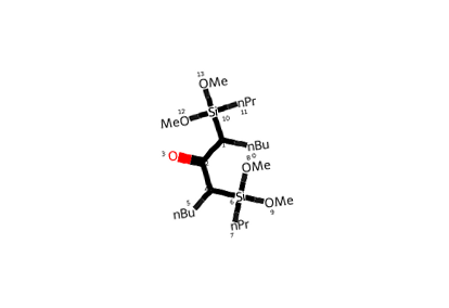 CCCCC(C(=O)C(CCCC)[Si](CCC)(OC)OC)[Si](CCC)(OC)OC